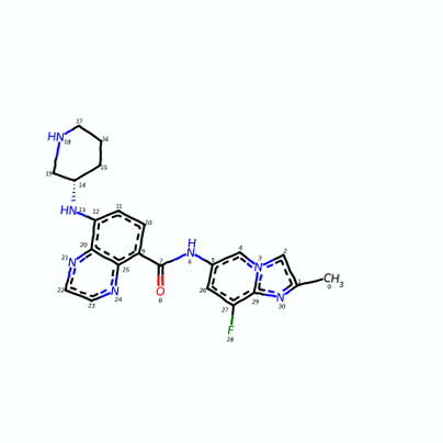 Cc1cn2cc(NC(=O)c3ccc(N[C@H]4CCCNC4)c4nccnc34)cc(F)c2n1